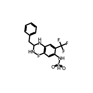 O=[SH](=O)Nc1cc2c(cc1C(F)(F)F)NC(Cc1ccccc1)NS2